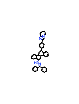 c1ccc(C(=NNc2cc3c4ccccc4c(-c4ccc(-c5cn6ccccc6n5)cc4)cc3c3ccccc23)c2ccccc2)cc1